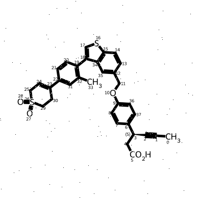 CC#C[C@@H](CC(=O)O)c1ccc(OCc2ccc3scc(-c4ccc(C5=CCS(=O)(=O)CC5)cc4C)c3c2)cc1